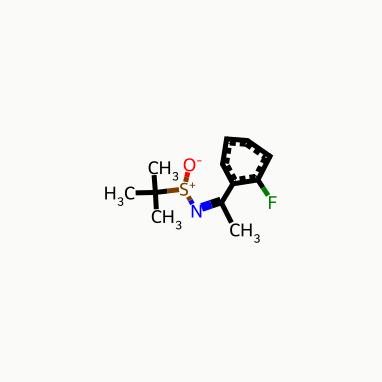 C/C(=N/[S+]([O-])C(C)(C)C)c1ccccc1F